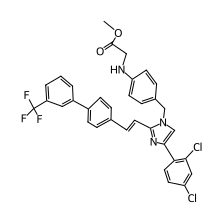 COC(=O)CNc1ccc(Cn2cc(-c3ccc(Cl)cc3Cl)nc2C=Cc2ccc(-c3cccc(C(F)(F)F)c3)cc2)cc1